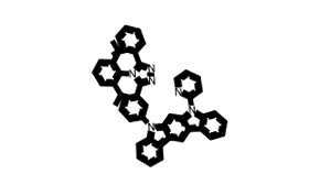 Cc1ccccc1-c1nnc(-c2cccc(-n3c4ccccc4c4cc5c6ccccc6n(-c6ccccn6)c5cc43)c2)n1-c1c(C(C)C)cccc1C(C)C